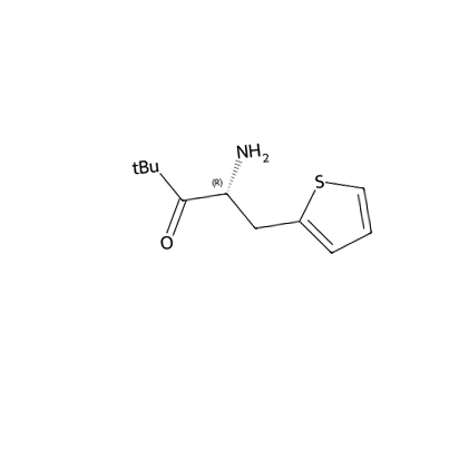 CC(C)(C)C(=O)[C@H](N)Cc1cccs1